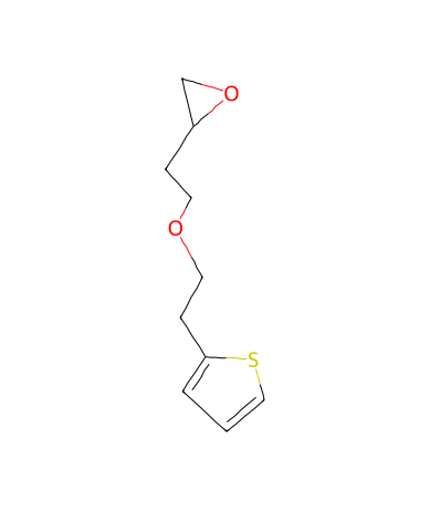 c1csc(CCOCCC2CO2)c1